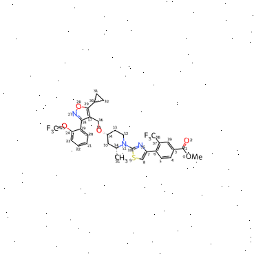 COC(=O)c1ccc(-c2csc(N3CC[C@@H](OCc4c(-c5ccccc5OC(F)(F)F)noc4C4CC4)C[C@H]3C)n2)c(C(F)(F)F)c1